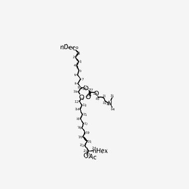 CCCCCCCCCCCCCCCCCC[C@H](COCCCCCCCCC=CC[C@@H](CCCCCC)OC(C)=O)OC(=O)OCCCN(C)C